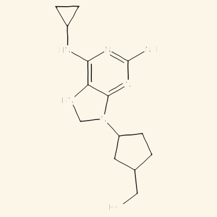 Nc1nc(NC2CC2)c2c(n1)N(C1CCC(CO)C1)CN2